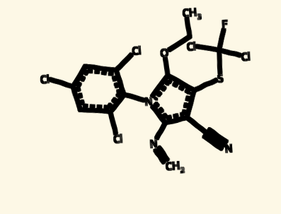 C=Nc1c(C#N)c(SC(F)(Cl)Cl)c(OCC)n1-c1c(Cl)cc(Cl)cc1Cl